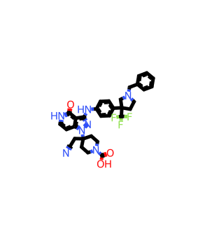 N#CCC1(n2nc(Nc3ccc(C4(C(F)(F)F)CCN(Cc5ccccc5)C4)cc3)c3c(=O)[nH]ccc32)CCN(C(=O)O)CC1